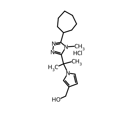 Cl.Cn1c(C2CCCCCC2)nnc1C(C)(C)n1ccc(CO)c1